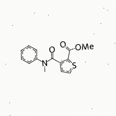 COC(=O)c1sccc1C(=O)N(C)c1ccccc1